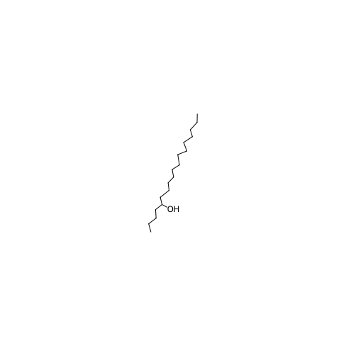 CCCCCCCCCCCCCC(O)CCCC